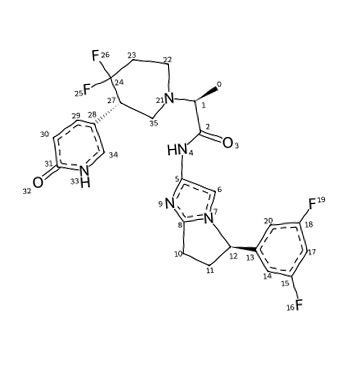 C[C@@H](C(=O)Nc1cn2c(n1)CC[C@@H]2c1cc(F)cc(F)c1)N1CCC(F)(F)[C@@H](c2ccc(=O)[nH]c2)C1